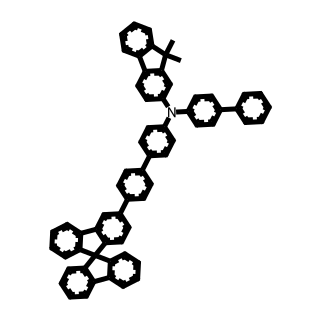 CC1(C)c2ccccc2-c2ccc(N(c3ccc(-c4ccccc4)cc3)c3ccc(-c4ccc(-c5ccc6c(c5)-c5ccccc5C65c6ccccc6-c6ccccc65)cc4)cc3)cc21